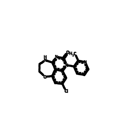 Cc1ncccc1-n1c(=O)nc2c3c(cc(Cl)cc31)OCCN2